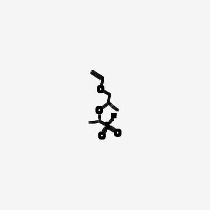 C=COCC(C)OC(C)S(=O)(=O)F